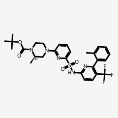 Cc1ccccc1-c1nc(NS(=O)(=O)c2cccc(N3CCN(C(=O)OC(C)(C)C)[C@H](C)C3)n2)ccc1C(F)(F)F